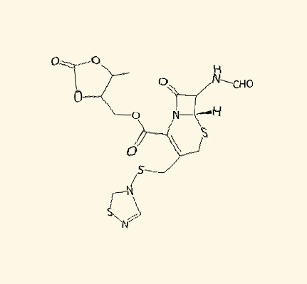 CC1OC(=O)OC1COC(=O)C1=C(CSN2C=NSC2)CS[C@H]2C(NC=O)C(=O)N12